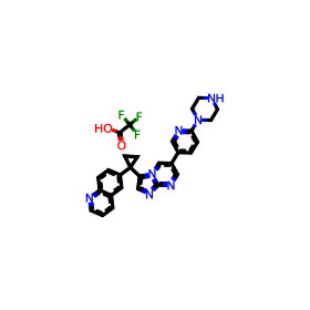 O=C(O)C(F)(F)F.c1cnc2ccc(C3(c4cnc5ncc(-c6ccc(N7CCNCC7)nc6)cn45)CC3)cc2c1